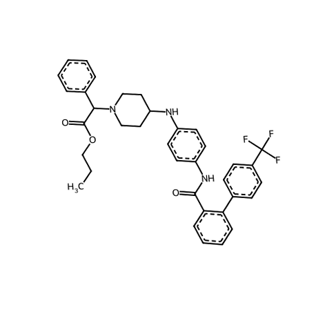 CCCOC(=O)C(c1ccccc1)N1CCC(Nc2ccc(NC(=O)c3ccccc3-c3ccc(C(F)(F)F)cc3)cc2)CC1